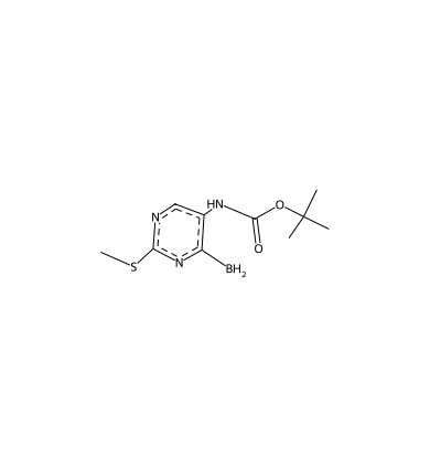 Bc1nc(SC)ncc1NC(=O)OC(C)(C)C